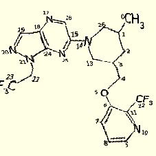 CC1CC(COc2cccnc2C(F)(F)F)CN(c2cnc3cnn(CC(F)(F)F)c3n2)C1